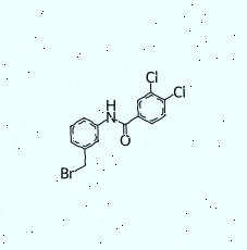 O=C(Nc1cccc(CBr)c1)c1ccc(Cl)c(Cl)c1